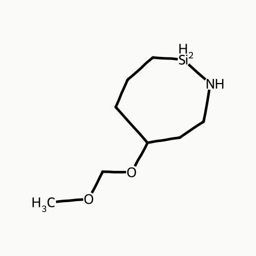 COCOC1CCC[SiH2]NCC1